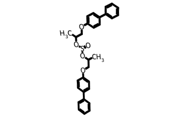 CC(COc1ccc(-c2ccccc2)cc1)OS(=O)OC(C)COc1ccc(-c2ccccc2)cc1